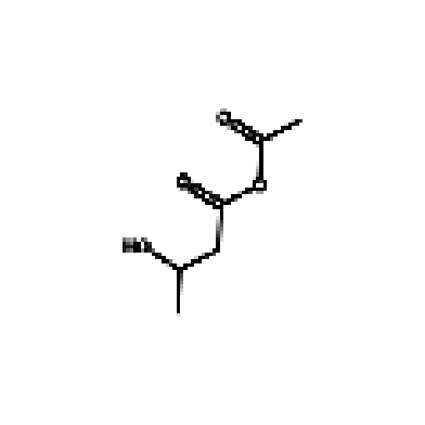 CC(=O)OC(=O)CC(C)O